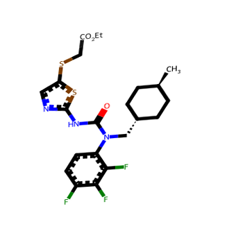 CCOC(=O)CSc1cnc(NC(=O)N(C[C@H]2CC[C@H](C)CC2)c2ccc(F)c(F)c2F)s1